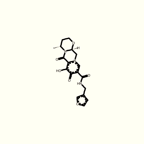 C[C@@H]1CCO[C@H]2Cn3cc(C(=O)NCc4ccoc4)c(=O)c(O)c3C(=O)N12